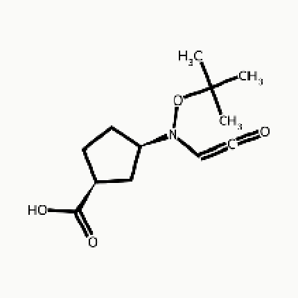 CC(C)(C)ON(C=C=O)[C@@H]1CC[C@H](C(=O)O)C1